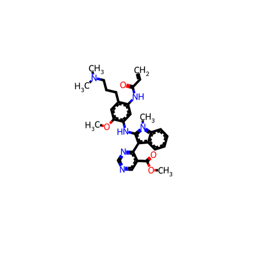 C=CC(=O)Nc1cc(Nc2c(-c3ncncc3C(=O)OC)c3ccccc3n2C)c(OC)cc1CCCN(C)C